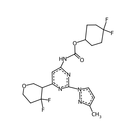 Cc1ccn(-c2nc(NC(=O)OC3CCC(F)(F)CC3)cc(C3COCCC3(F)F)n2)n1